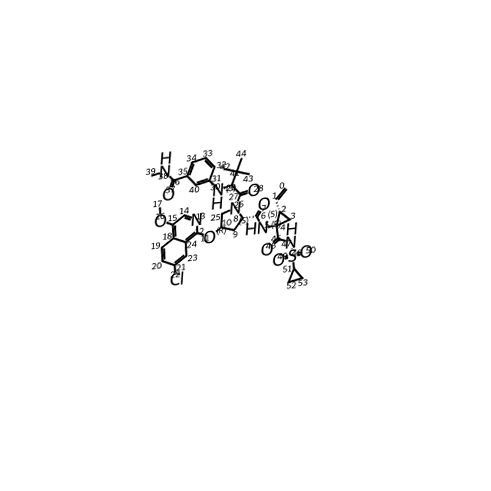 C=C[C@@H]1C[C@]1(NC(=O)[C@@H]1C[C@@H](Oc2ncc(OC)c3ccc(Cl)cc23)CN1C(=O)[C@@H](Nc1cccc(C(=O)NC)c1)C(C)(C)C)C(=O)NS(=O)(=O)C1CC1